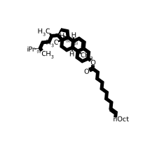 CCCCCCCCC=CCCCCCCCC(=O)OC1CC[C@@]2(C)C(=CC[C@H]3[C@@H]4CC[C@H]([C@H](C)CC[C@H](C)C(C)C)[C@@]4(C)CC[C@@H]32)C1